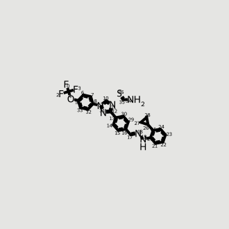 FC(F)(F)Oc1ccc(-n2cnc(-c3ccc(/C=N/Nc4ccccc4C4CC4)cc3)n2)cc1.NC=S